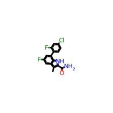 Cc1c(C(N)=O)[nH]c2c(-c3ccc(Cl)cc3F)cc(F)cc12